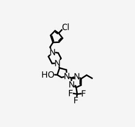 CCc1cc(C(F)(F)F)nc(N2CC(O)C(N3CCN(Cc4ccc(Cl)cc4)CC3)C2)n1